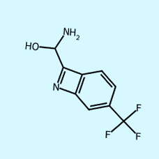 NC(O)C1=Nc2cc(C(F)(F)F)ccc21